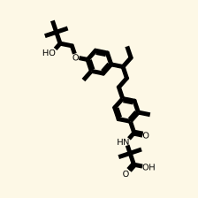 CCC(CCc1ccc(C(=O)NC(C)(C)C(=O)O)c(C)c1)c1ccc(OCC(O)C(C)(C)C)c(C)c1